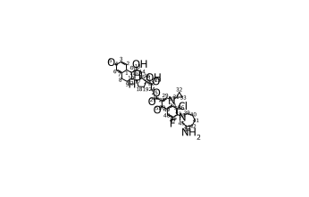 C[C@@]12C=CC(=O)C=C1CC[C@H]1C2[C@H](O)C[C@]2(C)[C@@H]1CC[C@@]2(O)C(=O)COC(=O)c1cn(C2CC2)c2c(Cl)c(N3CCCC[C@H](N)C3)c(F)cc2c1=O